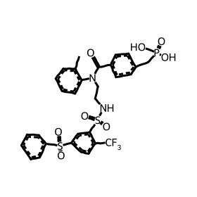 Cc1ccccc1N(CCNS(=O)(=O)c1cc(S(=O)(=O)c2ccccc2)ccc1C(F)(F)F)C(=O)c1ccc(CP(=O)(O)O)cc1